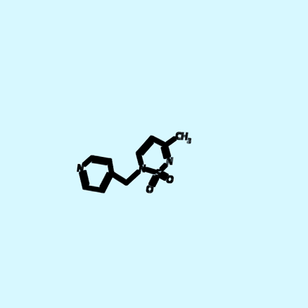 CC1=NS(=O)(=O)N(Cc2ccncc2)C=C1